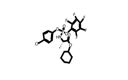 C[C@H](NP(=O)(Oc1ccc(Cl)cc1)Oc1c(F)c(F)c(F)c(F)c1F)C(=O)OC1CCCCC1